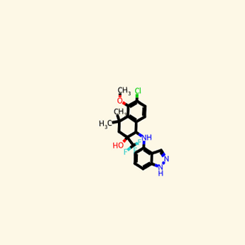 COc1c(Cl)ccc2c1C(C)(C)CC(O)(C(F)(F)F)C2Nc1cccc2[nH]ncc12